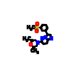 C[C@@H]1CN(c2ccc3ncc(-c4cccc(S(C)(=O)=O)c4)n3n2)C[C@H](C)O1